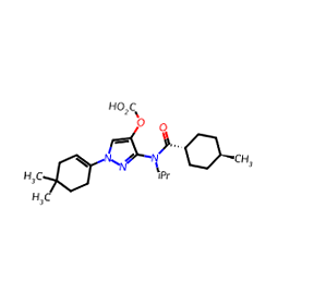 CC(C)N(c1nn(C2=CCC(C)(C)CC2)cc1OC(=O)O)C(=O)[C@H]1CC[C@H](C)CC1